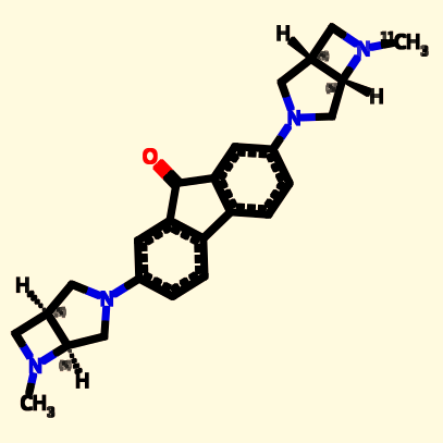 CN1C[C@H]2CN(c3ccc4c(c3)C(=O)c3cc(N5C[C@@H]6CN([11CH3])[C@@H]6C5)ccc3-4)C[C@H]21